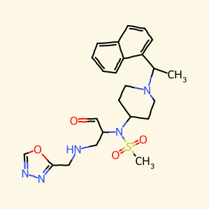 CC(c1cccc2ccccc12)N1CCC(N(C(C=O)CNCc2nnco2)S(C)(=O)=O)CC1